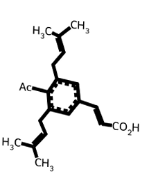 CC(=O)c1c(CC=C(C)C)cc(C=CC(=O)O)cc1CC=C(C)C